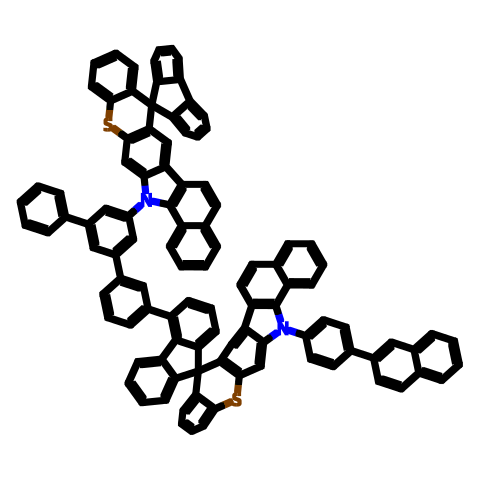 c1ccc(-c2cc(-c3cccc(-c4cccc5c4-c4ccccc4C54c5ccccc5Sc5cc6c(cc54)c4ccc5ccccc5c4n6-c4ccc(-c5ccc6ccccc6c5)cc4)c3)cc(-n3c4cc5c(cc4c4ccc6ccccc6c43)C3(c4ccccc4S5)c4ccccc4-c4ccccc43)c2)cc1